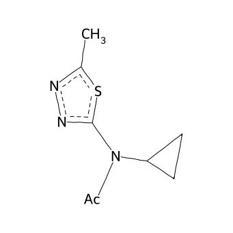 CC(=O)N(c1nnc(C)s1)C1CC1